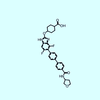 O=C(NC1CCOC1)c1ccc(-c2ccc(-c3c(F)cc4[nH]c(OC5CCC(C(=O)O)CC5)nc4c3F)cc2)cc1